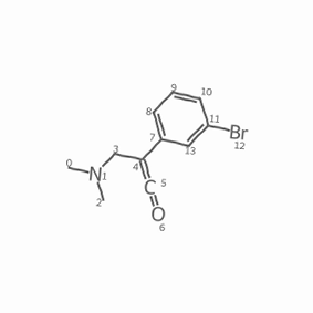 CN(C)CC(=C=O)c1cccc(Br)c1